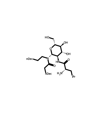 CCCCCCCCCCCCN(C(=O)CCCCCCCCCCC)[C@@H]1O[C@H](CO)[C@@H](O)[C@H](O)[C@H]1NC(=O)[C@@H](N)CC(C)C